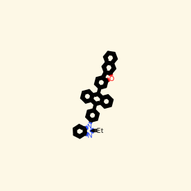 CCc1nc2ccccc2n1-c1ccc(-c2c3ccccc3c(-c3ccc4c(c3)oc3cc5ccccc5cc34)c3ccccc23)cc1